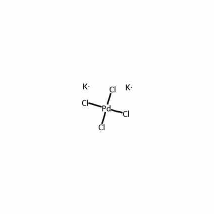 [Cl][Pd]([Cl])([Cl])[Cl].[K].[K]